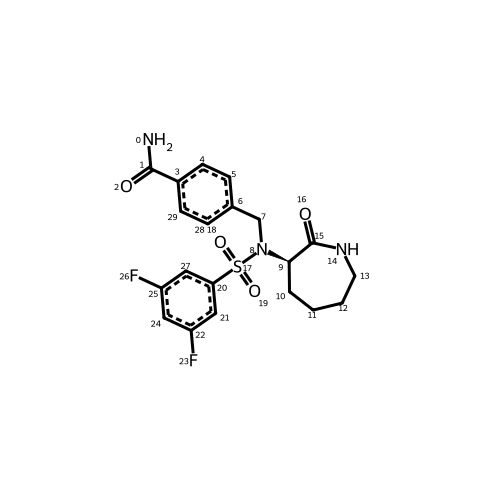 NC(=O)c1ccc(CN([C@@H]2CCCCNC2=O)S(=O)(=O)c2cc(F)cc(F)c2)cc1